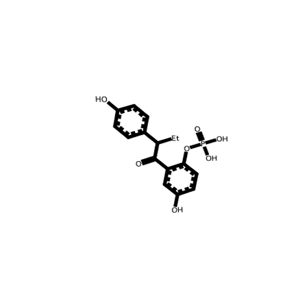 CCC(C(=O)c1cc(O)ccc1OP(=O)(O)O)c1ccc(O)cc1